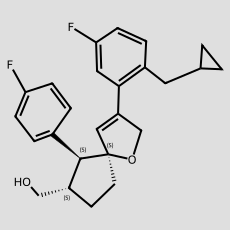 OC[C@H]1CC[C@@]2(C=C(c3cc(F)ccc3CC3CC3)CO2)[C@@H]1c1ccc(F)cc1